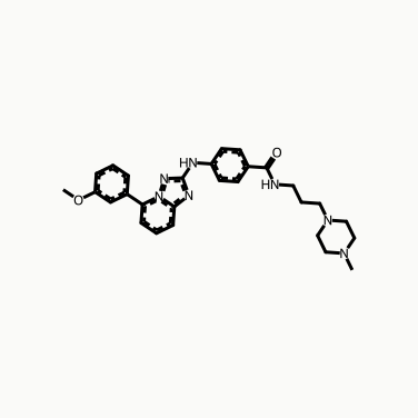 COc1cccc(-c2cccc3nc(Nc4ccc(C(=O)NCCCN5CCN(C)CC5)cc4)nn23)c1